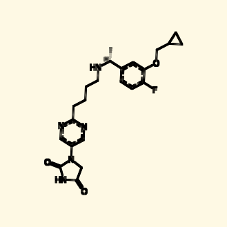 C[C@@H](NCCCCc1ncc(N2CC(=O)NC2=O)cn1)c1ccc(F)c(OCC2CC2)c1